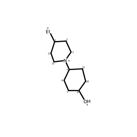 CCC1CCN(C2CCC(O)CC2)CC1